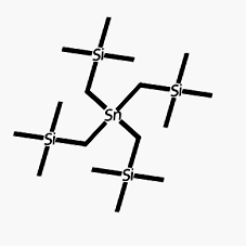 C[Si](C)(C)[CH2][Sn]([CH2][Si](C)(C)C)([CH2][Si](C)(C)C)[CH2][Si](C)(C)C